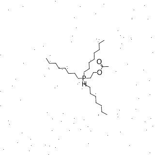 CCCCCCCC[PH](CCCCCCCC)(CCCCCCCC)CCOC(C)=O